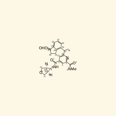 CNC(=O)c1cc(C(=O)NC2[C@H]3COC[C@@H]23)cc(C(C)c2cccc3c2CCN3C=O)n1